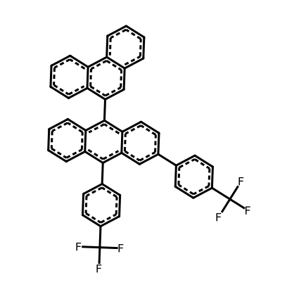 FC(F)(F)c1ccc(-c2ccc3c(-c4cc5ccccc5c5ccccc45)c4ccccc4c(-c4ccc(C(F)(F)F)cc4)c3c2)cc1